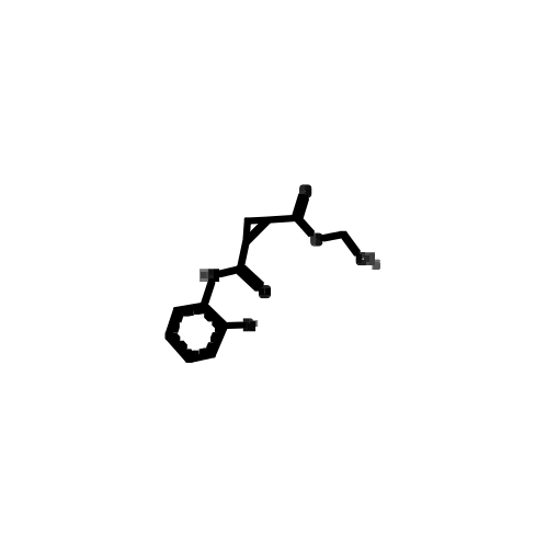 CCOC(=O)C1CC1C(=O)Nc1ccccc1Br